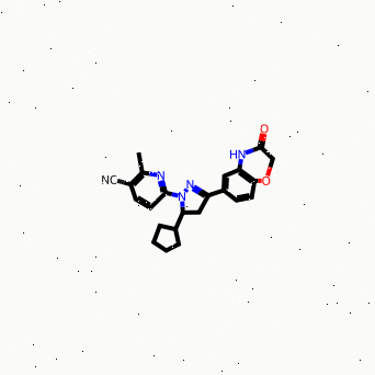 Cc1nc(N2N=C(c3ccc4c(c3)NC(=O)CO4)CC2C2CCCC2)ccc1C#N